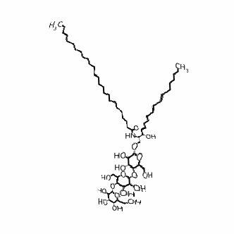 CCCCCCCCCCCCC/C=C/[C@@H](O)[C@H](CO[C@@H]1OC(CO)[C@@H](O[C@@H]2OC(CO)[C@H](O[C@@H]3OC(CO)[C@H](O)[C@H](O)C3O)[C@H](O)C2O)[C@H](O)C1O)NC(=O)CCCCCCCCCCCCCCCCCCCCCCCCC